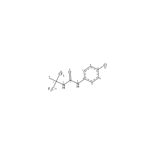 CC(NC(=O)Nc1ccc(Cl)cc1)(C(F)(F)F)C(F)(F)F